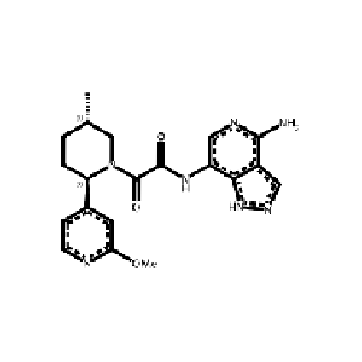 COc1cc([C@H]2CC[C@H](C)CN2C(=O)C(=O)Nc2cnc(N)c3cn[nH]c23)ccn1